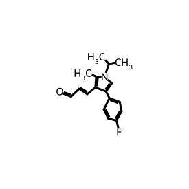 Cc1c(C=CC=O)c(-c2ccc(F)cc2)cn1C(C)C